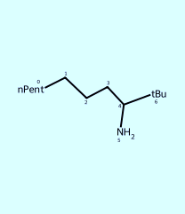 CCCCCCCCC(N)C(C)(C)C